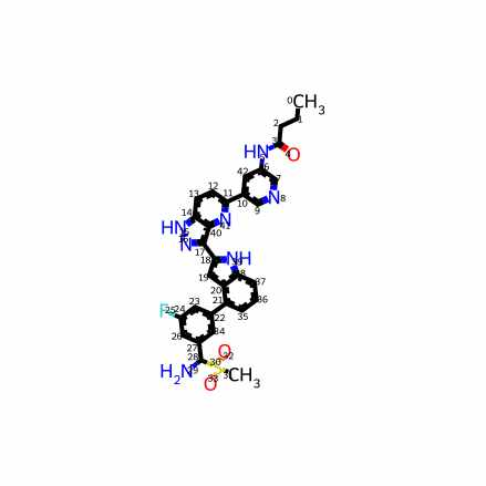 CCCC(=O)Nc1cncc(-c2ccc3[nH]nc(-c4cc5c(-c6cc(F)cc(C(N)S(C)(=O)=O)c6)cccc5[nH]4)c3n2)c1